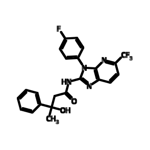 CC(O)(CC(=O)Nc1nc2ccc(C(F)(F)F)nc2n1-c1ccc(F)cc1)c1ccccc1